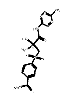 CNC(=O)c1ccc(S(=O)(=O)C[C@](C)(O)C(=O)Nc2nnc(C)nn2)cc1